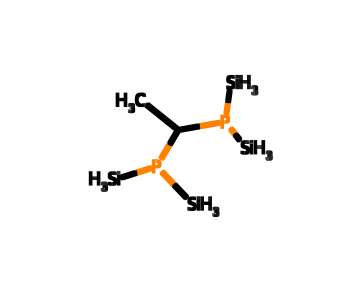 CC(P([SiH3])[SiH3])P([SiH3])[SiH3]